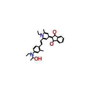 CCN1C(C)=CC(=C2C(=O)c3ccccc3C2=O)C=C1C=Cc1ccc(N(CC)C(C)O)cc1C